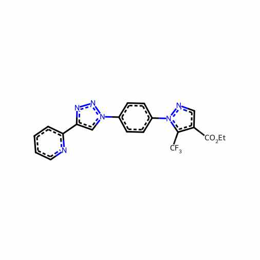 CCOC(=O)c1cnn(-c2ccc(-n3cc(-c4ccccn4)nn3)cc2)c1C(F)(F)F